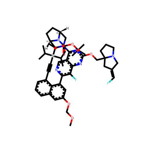 COCOc1cc(-c2ncc3c(N4C[C@H]5CC[C@@H](C4)N5C(=O)OC(C)(C)C)nc(OCC45CCCN4CC(=CF)C5)nc3c2F)c2c(C#C[Si](C(C)C)(C(C)C)C(C)C)cccc2c1